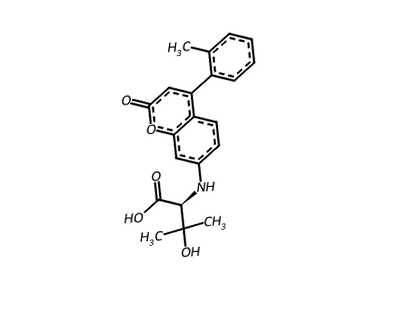 Cc1ccccc1-c1cc(=O)oc2cc(N[C@H](C(=O)O)C(C)(C)O)ccc12